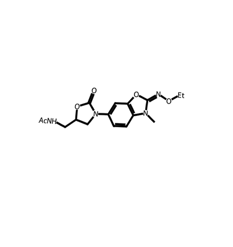 CCON=c1oc2cc(N3CC(CNC(C)=O)OC3=O)ccc2n1C